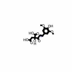 COc1cc(/C=C/C(=O)C(O)(CC(=O)O)C(=O)O)cc(OC)c1O